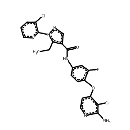 CCc1c(C(=O)Nc2ccc(Oc3ccnc(N)c3Cl)c(F)c2)cnn1-c1ncccc1Cl